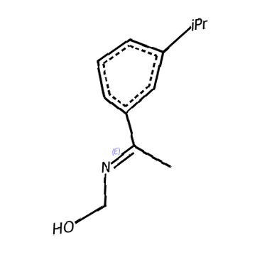 C/C(=N\CO)c1cccc(C(C)C)c1